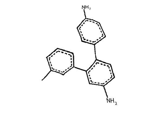 Cc1cccc(-c2cc(N)ccc2-c2ccc(N)cc2)c1